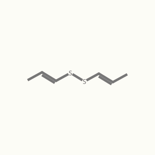 CC=CSSC=CC